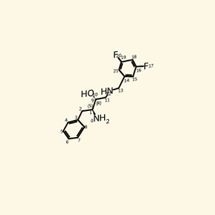 N[C@@H](Cc1ccccc1)[C@H](O)CNCc1cc(F)cc(F)c1